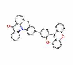 O=c1c2ccccc2n2c3c(cccc13)Cc1cc(-c3ccc4c(c3)Oc3cccc5c3B4c3ccccc3O5)ccc1-2